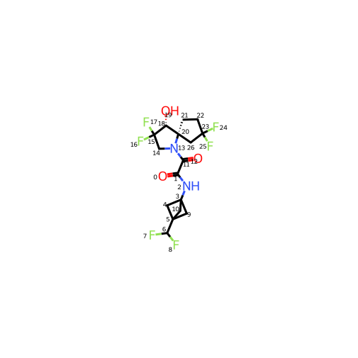 O=C(NC12CC(C(F)F)(C1)C2)C(=O)N1CC(F)(F)[C@H](O)[C@]12CCC(F)(F)C2